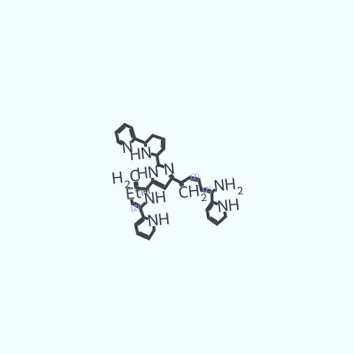 C=C[C@@H](N/C(=C\CC)C1=CC=CCN1)C1=CC(C(=C)/C=C\C=C(/N)C2=CC=CCN2)=NC(C2C=CCC(c3ccccn3)N2)N1